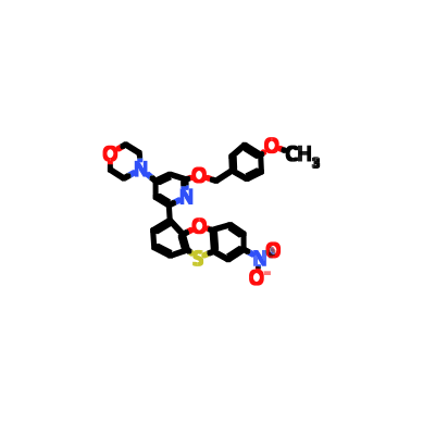 COc1ccc(COc2cc(N3CCOCC3)cc(-c3cccc4c3Oc3ccc([N+](=O)[O-])cc3S4)n2)cc1